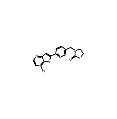 O=C1OCCN1Cc1ccc(-c2cc3nccc(Cl)c3s2)nc1